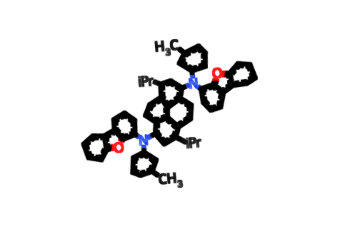 Cc1cccc(N(c2cc(C(C)C)c3ccc4c(N(c5cccc(C)c5)c5cccc6c5oc5ccccc56)cc(C(C)C)c5ccc2c3c54)c2cccc3c2oc2ccccc23)c1